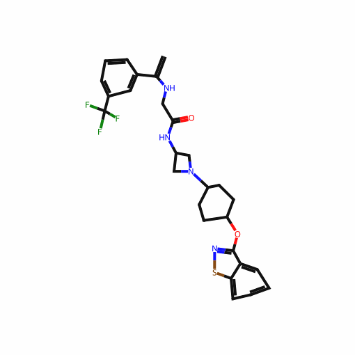 C=C(NCC(=O)NC1CN(C2CCC(Oc3nsc4ccccc34)CC2)C1)c1cccc(C(F)(F)F)c1